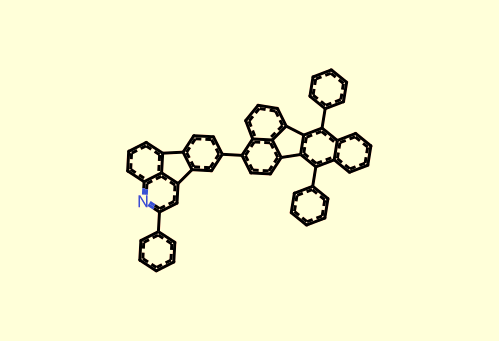 c1ccc(-c2cc3c4c(cccc4n2)-c2ccc(-c4ccc5c6c(cccc46)-c4c-5c(-c5ccccc5)c5ccccc5c4-c4ccccc4)cc2-3)cc1